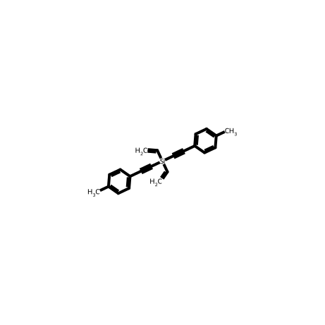 C=C[Si](C#Cc1ccc(C)cc1)(C#Cc1ccc(C)cc1)C=C